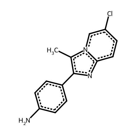 Cc1c(-c2ccc(N)cc2)nc2ccc(Cl)cn12